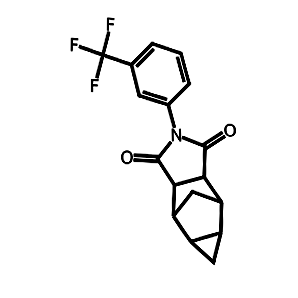 O=C1C2C3CC(C4CC43)C2C(=O)N1c1cccc(C(F)(F)F)c1